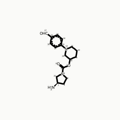 N[C@@H]1CCN(C(=O)OC2CCCN(c3ccc(C=O)cc3)C2)C1